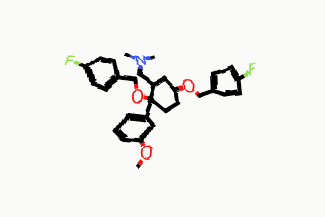 COc1cccc(C2(OCc3ccc(F)cc3)CCC(OCc3ccc(F)cc3)CC2CN(C)C)c1